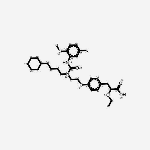 CCOC(Cc1ccc(OCCN(CCCCC2CCCCC2)C(=O)Nc2cc(C)ccc2OC)cc1)C(=O)O